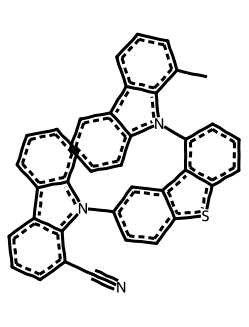 Cc1cccc2c3ccccc3n(-c3cccc4sc5ccc(-n6c7ccccc7c7cccc(C#N)c76)cc5c34)c12